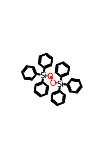 c1ccc([Si](OO[Si](c2ccccc2)(c2ccccc2)c2ccccc2)(c2ccccc2)c2ccccc2)cc1